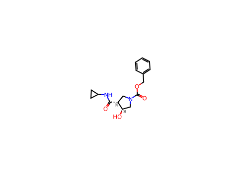 O=C(NC1CC1)[C@@H]1CN(C(=O)OCc2ccccc2)C[C@H]1O